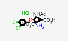 CC(=O)NC1C2C(C(=O)O)C2C(N)(C(=O)O)C1OCc1ccc(Cl)c(Cl)c1.Cl